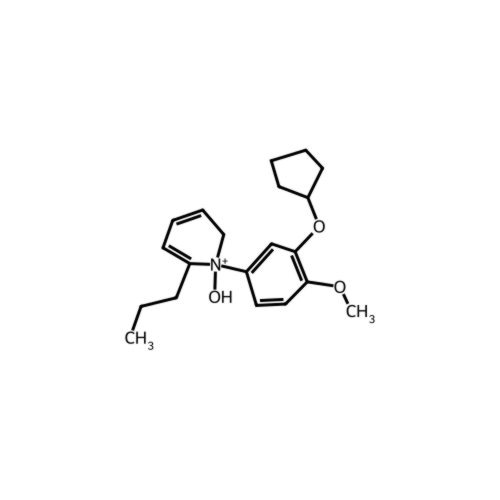 CCCC1=CC=CC[N+]1(O)c1ccc(OC)c(OC2CCCC2)c1